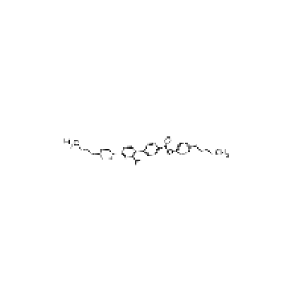 CCCCCc1ccc(OC(=O)c2ccc(-c3ccc(C4CCC(CCCC)CC4)cc3F)cc2)cc1